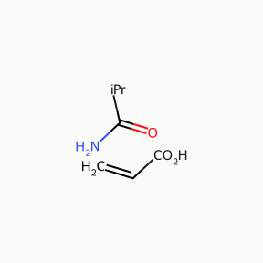 C=CC(=O)O.CC(C)C(N)=O